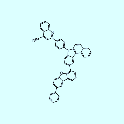 N#Cc1cc(-c2ccc(-n3c4ccc(-c5cccc6c5oc5ccc(-c7ccccc7)cc56)cc4c4c5ccccc5ccc43)cc2)nc2ccccc12